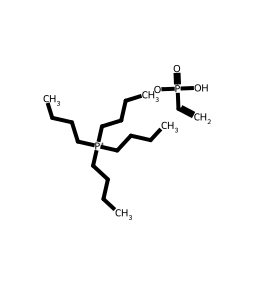 C=CP(=O)([O-])O.CCCC[P+](CCCC)(CCCC)CCCC